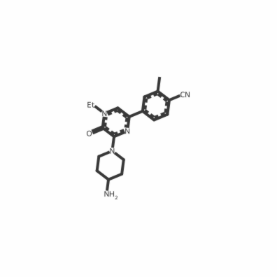 CCn1cc(-c2ccc(C#N)c(C)c2)nc(N2CCC(N)CC2)c1=O